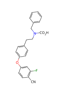 N#Cc1ccc(Oc2ccc(CCN(Cc3ccccc3)C(=O)O)cc2)cc1F